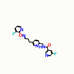 O=C(NCc1ccc(CC/C=N/Oc2ncccc2F)cn1)c1cncc(F)c1